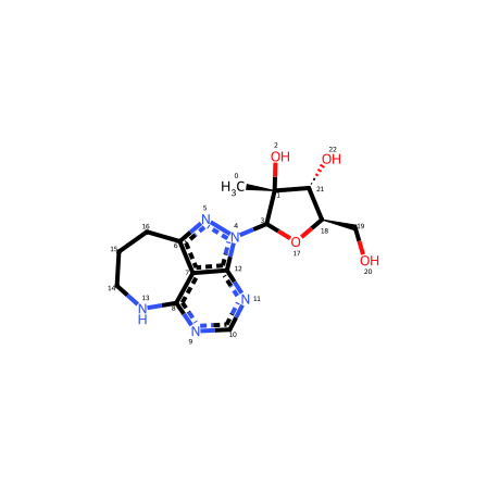 C[C@]1(O)C(n2nc3c4c(ncnc42)NCCC3)O[C@H](CO)[C@H]1O